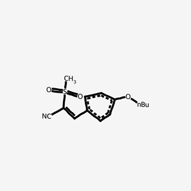 CCCCOc1ccc(C=C(C#N)S(C)(=O)=O)cc1